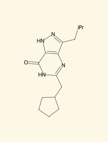 CC(C)Cc1n[nH]c2c(=O)[nH]c(CC3CCCC3)nc12